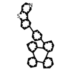 c1ccc2c(c1)-c1ccccc1-c1cccc(-c3ccc(-c4ccc5sc6ccncc6c5c4)cc3)c1-c1ccccc1-2